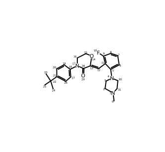 CN1CCN(c2cccc(F)c2C=C2OCCN(c3ccc(C(C)(C)C)cc3)C2=O)CC1